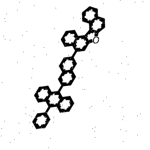 c1ccc(-c2c3ccccc3c(-c3ccc4cc(-c5cc6oc7ccc8ccccc8c7c6c6ccccc56)ccc4c3)c3ccccc23)cc1